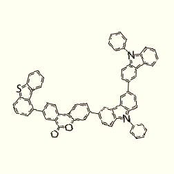 O=c1oc2cc(-c3ccc4c(c3)c3cc(-c5ccc6c(c5)c5ccccc5n6-c5ccccc5)ccc3n4-c3ccccc3)ccc2c2ccc(-c3cccc4sc5ccccc5c34)cc12